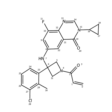 C=CC(=O)N1CC(Nc2cc(F)c3ncn(C4CC4)c(=O)c3c2)(c2cccc(Cl)c2C)C1